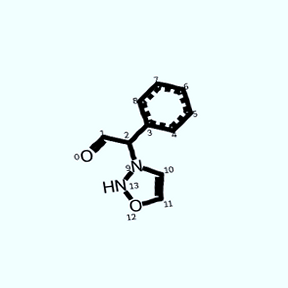 O=CC(c1ccccc1)N1C=CON1